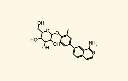 Cc1cc(-c2ccc3ccnc(N)c3c2)ccc1OC1OC(CO)C(O)C(O)C1O